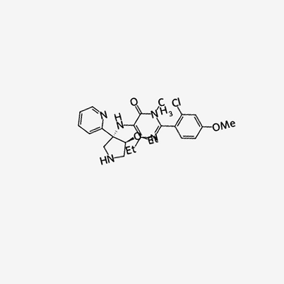 CCO[C@H]1CNC[C@@]1(Nc1c(CC)nc(-c2ccc(OC)cc2Cl)n(C)c1=O)c1ccccn1